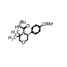 CC[C@H](C)NC(=O)N1[C@@H](c2ccc(OC)cc2)COCC1(C)C